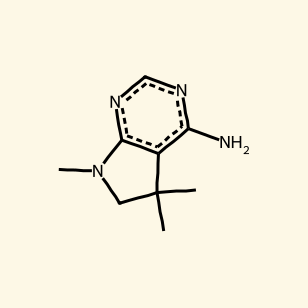 CN1CC(C)(C)c2c(N)ncnc21